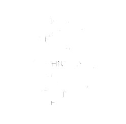 O=C(c1ccccc1NC(c1ccccc1)(c1ccccc1)c1cccc(F)c1F)C(F)(F)F